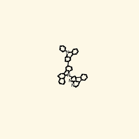 c1ccc(-n2c3ccccc3c3cc(-c4ccc5c(c4)c4ccc6ccccc6c4n5-c4cc5c6c(ccnc6n4)-c4ccccc4-5)ccc32)cc1